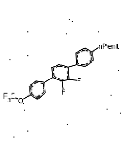 CCCCCc1ccc(-c2ccc(-c3ccc(OC(F)(F)F)cc3)c(F)c2F)cc1